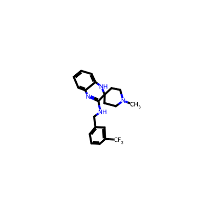 CN1CCC2(CC1)Nc1ccccc1N=C2NCc1cccc(C(F)(F)F)c1